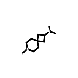 CN(I)C1CC2(CCN(I)CC2)C1